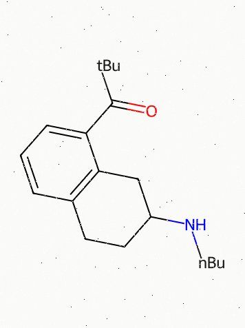 CCCCNC1CCc2cccc(C(=O)C(C)(C)C)c2C1